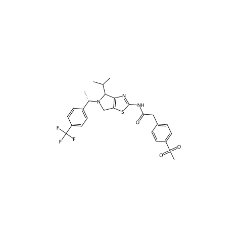 CC(C)C1c2nc(NC(=O)Cc3ccc(S(C)(=O)=O)cc3)sc2CN1[C@@H](C)c1ccc(C(F)(F)F)cc1